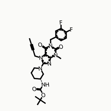 CC#CCn1c(N2CCC[C@@H](NC(=O)OC(C)(C)C)C2)nc2c1c(=O)n(Cc1ccc(F)c(F)c1)c(=O)n2C